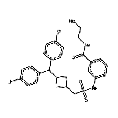 O=C(NCCO)c1cccc(NS(=O)(=O)CC2CN(C(c3ccc(Cl)cc3)c3ccc(Cl)cc3)C2)c1